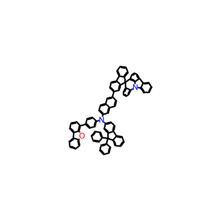 c1ccc(C2(c3ccccc3)c3ccccc3-c3ccc(N(c4ccc(-c5cccc6c5oc5ccccc56)cc4)c4ccc5cc(-c6ccc7c(c6)C6(c8ccccc8-7)c7ccccc7-n7c8ccccc8c8cccc6c87)ccc5c4)cc32)cc1